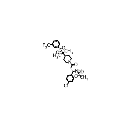 CC(C)(C1CCN(C(=O)C[C@H](NS(C)(=O)=O)c2ccc(Cl)cc2)CC1)S(=O)(=O)c1cccc(C(F)(F)F)c1